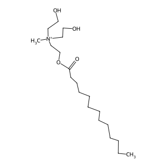 CCCCCCCCCCCCC(=O)OCC[N+](C)(CCO)CCO